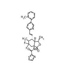 Cc1ccccc1-c1ccc(/C=C/[C@@H]2[C@@H]3[C@@H](C)OC(=O)[C@]3(NC(=O)c3nccs3)CC(F)(F)[C@H]2C)nc1